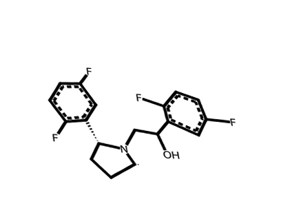 OC(CN1[CH]CC[C@@H]1c1cc(F)ccc1F)c1cc(F)ccc1F